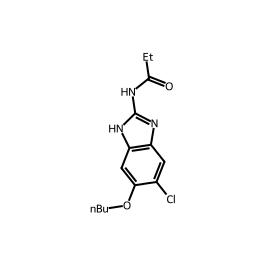 CCCCOc1cc2[nH]c(NC(=O)CC)nc2cc1Cl